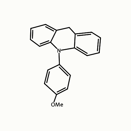 COc1ccc(N2c3ccccc3Cc3ccccc32)cc1